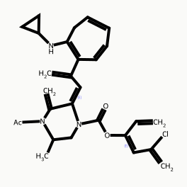 C=C/C(=C\C(=C)Cl)OC(=O)N1CC(C)N(C(C)=O)C(=C)/C1=C\C(=C)C1=C(NC2CC2)CC=CC=C1